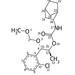 COCO[C@@H](c1ccccc1Cl)[C@H](C)OC(=O)NC1CC2CCC1C2